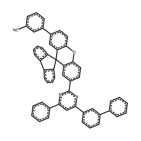 N#Cc1cccc(-c2ccc3c(c2)C2(c4cc(-c5nc(-c6ccccc6)cc(-c6cccc(-c7ccccc7)c6)n5)ccc4O3)c3ccccc3-c3ccccc32)c1